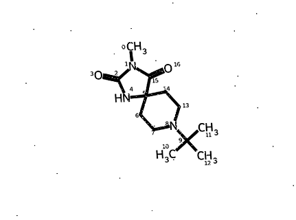 CN1C(=O)NC2(CCN(C(C)(C)C)CC2)C1=O